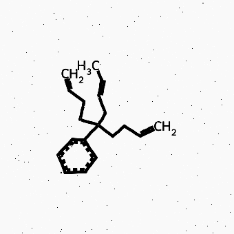 C=CCCC(CC=CC)(CCC=C)c1cc[c]cc1